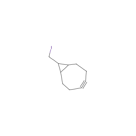 ICC1C2CCC#CCCC12